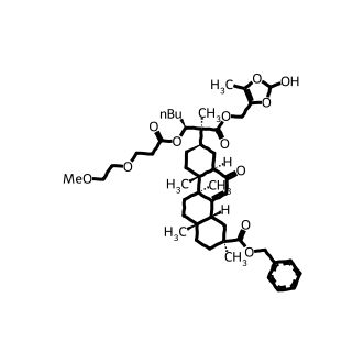 CCCC[C@H](OC(=O)CCOCCOC)[C@@](C)(C(=O)OCC1=C(C)OC(O)O1)[C@@H]1CC[C@]2(C)[C@@H](C1)C(=O)C=C1[C@@H]3C[C@@](C)(C(=O)OCc4ccccc4)CC[C@]3(C)CC[C@]12C